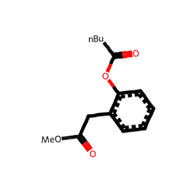 [CH2]CCCC(=O)Oc1ccccc1CC(=O)OC